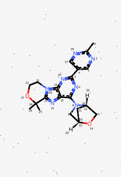 Cc1ncc(-c2nc(N3C[C@@H]4C[C@H]3CO4)c3nc4n(c3n2)CCOC4(C)C)cn1